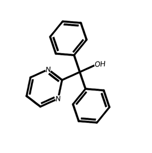 OC(c1ccccc1)(c1ccccc1)c1ncccn1